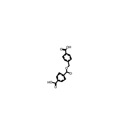 [O]C(OCc1ccc(C(=O)O)cc1)c1ccc(C(=O)O)cc1